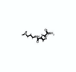 CN(C)CCCNC(=O)c1cnc(C(N)=O)s1